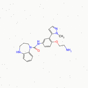 Cn1nccc1-c1cc(NC(=O)N2CCCNc3ccccc32)ccc1OCCN